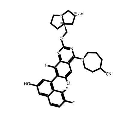 N#CC1CCCN(c2nc(OC[C@@]34CCCN3C[C@H](F)C4)nc3c(F)c(-c4cc(O)cc5ccc(F)c(F)c45)c(Cl)cc23)CC1